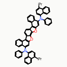 CC(C)c1ccc(N(c2ccccc2)c2cc3oc4c(ccc5c4oc4cc(N(c6ccccc6)c6ccc(C(C)C)c7ccccc67)c6ccccc6c45)c3c3ccccc23)c2ccccc12